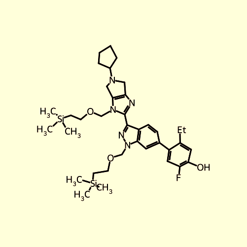 CCc1cc(O)c(F)cc1-c1ccc2c(-c3nc4c(n3COCC[Si](C)(C)C)CN(C3CCCC3)C4)nn(COCC[Si](C)(C)C)c2c1